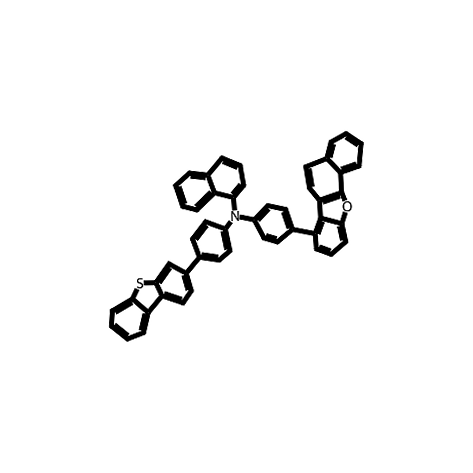 c1ccc2c(N(c3ccc(-c4ccc5c(c4)sc4ccccc45)cc3)c3ccc(-c4cccc5oc6c7ccccc7ccc6c45)cc3)cccc2c1